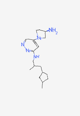 CC1CCC(CC(C)CNc2cc(N3CC[C@@H](N)C3)cnn2)C1